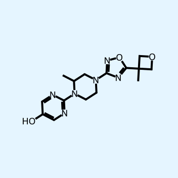 CC1CN(c2noc(C3(C)COC3)n2)CCN1c1ncc(O)cn1